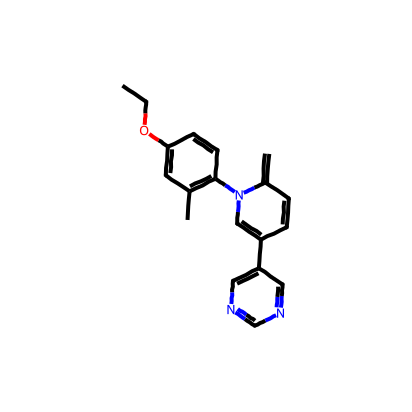 C=C1C=CC(c2cncnc2)=CN1c1ccc(OCC)cc1C